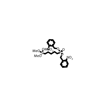 CO[Si](CCCCCP(=O)(OCc1ccccc1[N+](=O)[O-])OCc1ccccc1[N+](=O)[O-])(OC)OC